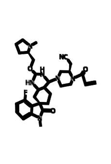 C=CC(=O)N1CCN(C2NC(OC[C@H]3CCCN3C)NC3C[C@@]4(CCC32)C(=O)N(C)c2cccc(F)c24)C[C@H]1CC#N